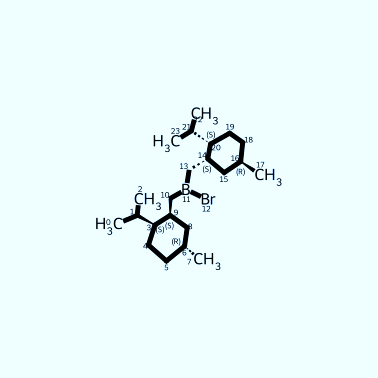 CC(C)[C@@H]1CC[C@@H](C)C[C@@H]1CB(Br)C[C@H]1C[C@H](C)CC[C@H]1C(C)C